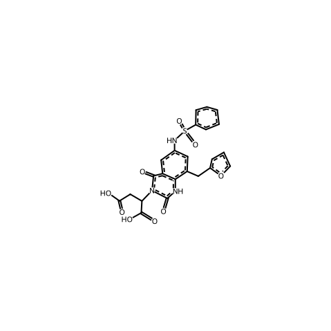 O=C(O)CC(C(=O)O)n1c(=O)[nH]c2c(Cc3ccco3)cc(NS(=O)(=O)c3ccccc3)cc2c1=O